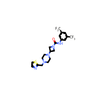 O=C(Nc1cc(C(F)(F)F)cc(C(F)(F)F)c1)N1CC(N2CCN(Cc3nccs3)CC2)C1